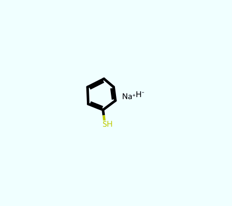 Sc1ccccc1.[H-].[Na+]